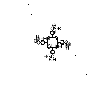 O=[PH](O)Oc1ccc(-c2c3nc(c(-c4ccc(OP(O)O)cc4)c4ccc([nH]4)c(-c4ccc(O[PH](=O)O)cc4)c4nc(c(-c5ccc(O[PH](=O)O)cc5)c5ccc2[nH]5)CC4)C=C3)cc1